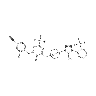 Cn1c(-c2ccccc2C(F)(F)F)nnc1C12CCC(CNC(=O)N(Cc3ccc(C#N)cc3Cl)OC(=O)C(F)(F)F)(CC1)CC2